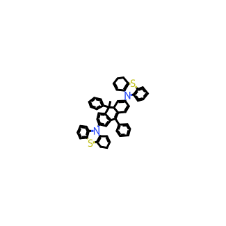 CC1(c2ccccc2)c2ccc(N3C4=C(CCC=C4)Sc4ccccc43)cc2C(c2ccccc2)=C2C=CC(N3C4=C(CCC=C4)Sc4ccccc43)=CC21